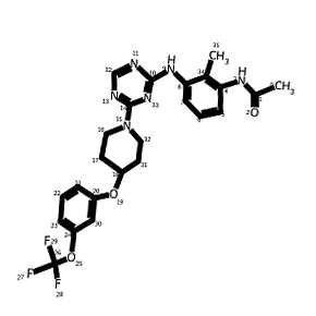 CC(=O)Nc1cccc(Nc2ncnc(N3CCC(Oc4cccc(OC(F)(F)F)c4)CC3)n2)c1C